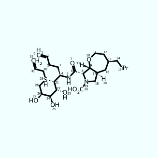 C=CCC[C@@H](NC(=O)[C@@H]1[C@@H]2OCC[C@@H](CC(C)C)C[C@H]2CN1C(=O)O)[C@@H]1[C@H](O)[C@@H](O)[C@@H](O)C[SH]1CC=C